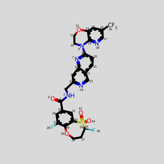 O=C(NCc1cc2nc(N3CCOc4cc(C(F)(F)F)cnc43)ccc2cn1)c1cc(F)c2c(c1)S(=O)(=O)[C@@H](F)CCO2